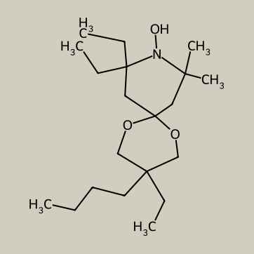 CCCCC1(CC)COC2(CC(C)(C)N(O)C(CC)(CC)C2)OC1